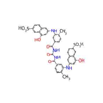 Cc1ccc(C(=O)NC(=O)NC(=O)c2ccc(C)c(Nc3cc(O)c4cc(S(=O)(=O)O)ccc4c3)c2)cc1Nc1cc(O)c2cc(S(=O)(=O)O)ccc2c1